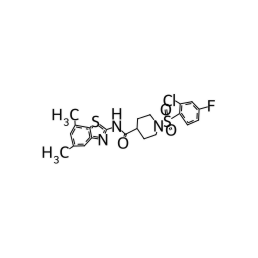 Cc1cc(C)c2sc(NC(=O)C3CCN(S(=O)(=O)c4ccc(F)cc4Cl)CC3)nc2c1